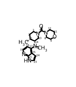 C[C@@H]1CCN(C(=O)N2CCOCC2)C[C@@H]1N(C)c1ccnc2[nH]ccc12